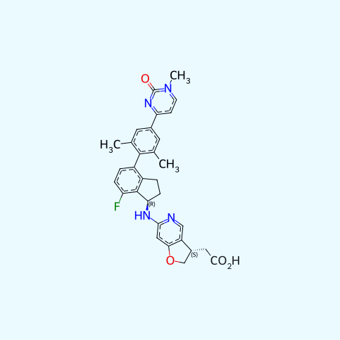 Cc1cc(-c2ccn(C)c(=O)n2)cc(C)c1-c1ccc(F)c2c1CC[C@H]2Nc1cc2c(cn1)[C@H](CC(=O)O)CO2